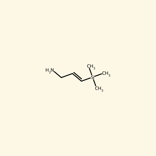 C[Si](C)(C)C=CCN